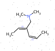 C/C=C\C(=C/C)CN(C)C